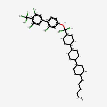 CCCCCC1CCC(C2CCC(C3CCC(C(F)(F)Oc4ccc(-c5cc(F)c(C(F)(F)F)c(F)c5)c(F)c4)CC3)CC2)CC1